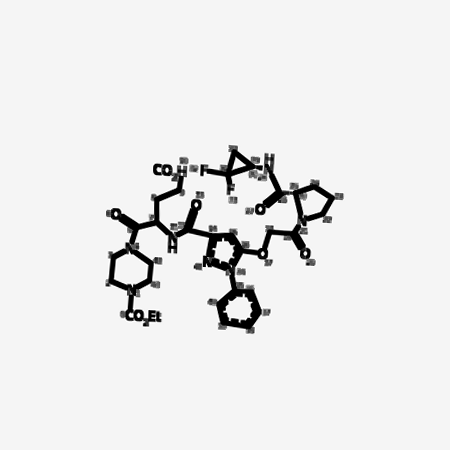 CCOC(=O)N1CCN(C(=O)C(CCC(=O)O)NC(=O)c2cc(OCC(=O)N3CCC[C@H]3C(=O)N[C@H]3CC3(F)F)n(-c3ccccc3)n2)CC1